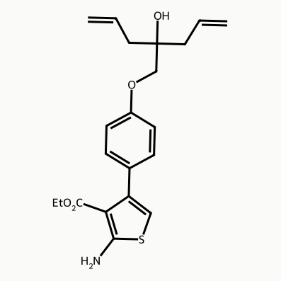 C=CCC(O)(CC=C)COc1ccc(-c2csc(N)c2C(=O)OCC)cc1